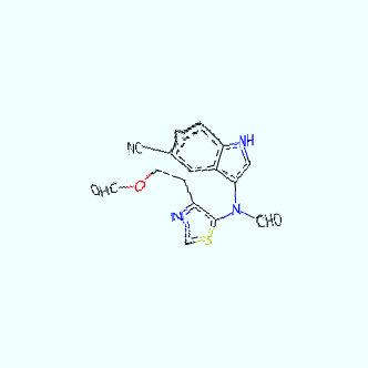 N#Cc1ccc2[nH]cc(N(C=O)c3scnc3CCOC=O)c2c1